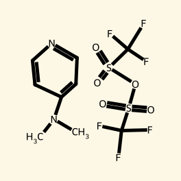 CN(C)c1ccncc1.O=S(=O)(OS(=O)(=O)C(F)(F)F)C(F)(F)F